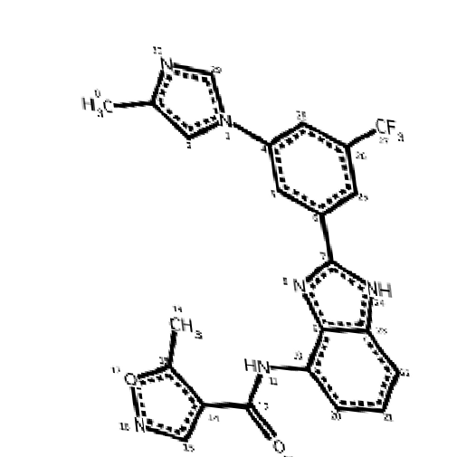 Cc1cn(-c2cc(-c3nc4c(NC(=O)c5cnoc5C)cccc4[nH]3)cc(C(F)(F)F)c2)cn1